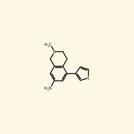 CN1CCc2c(cc(N)cc2-c2ccsc2)C1